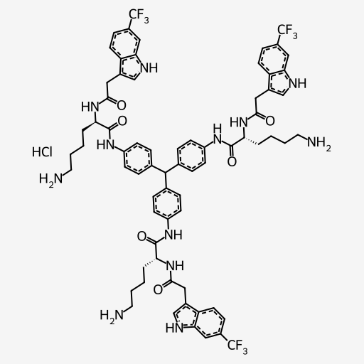 Cl.NCCCC[C@@H](NC(=O)Cc1c[nH]c2cc(C(F)(F)F)ccc12)C(=O)Nc1ccc(C(c2ccc(NC(=O)[C@@H](CCCCN)NC(=O)Cc3c[nH]c4cc(C(F)(F)F)ccc34)cc2)c2ccc(NC(=O)[C@@H](CCCCN)NC(=O)Cc3c[nH]c4cc(C(F)(F)F)ccc34)cc2)cc1